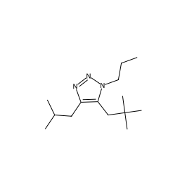 CCCn1nnc(CC(C)C)c1CC(C)(C)C